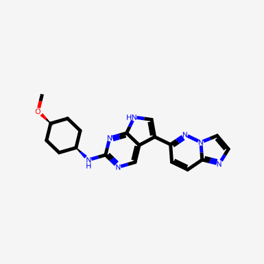 CO[C@H]1CC[C@@H](Nc2ncc3c(-c4ccc5nccn5n4)c[nH]c3n2)CC1